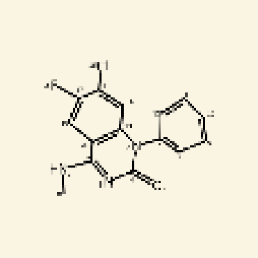 CNc1nc(=O)n(-c2ccccc2)c2cc(Cl)c(F)cc12